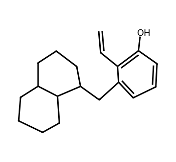 C=Cc1c(O)cccc1CC1CCCC2CCCCC21